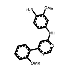 COc1cc(Nc2cc(-c3ccccc3OC)ncn2)ccc1N